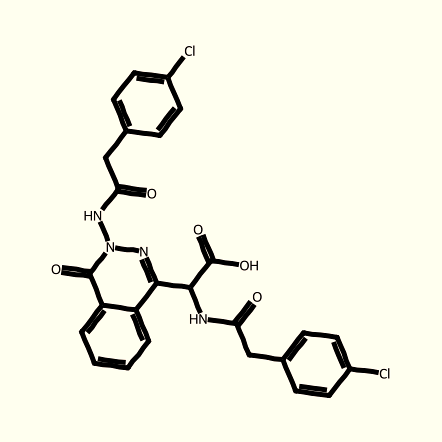 O=C(Cc1ccc(Cl)cc1)NC(C(=O)O)c1nn(NC(=O)Cc2ccc(Cl)cc2)c(=O)c2ccccc12